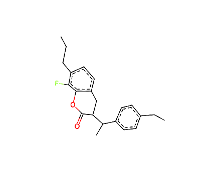 CCCc1ccc2c(c1F)OC(=O)C(C(C)c1ccc(CC)cc1)C2